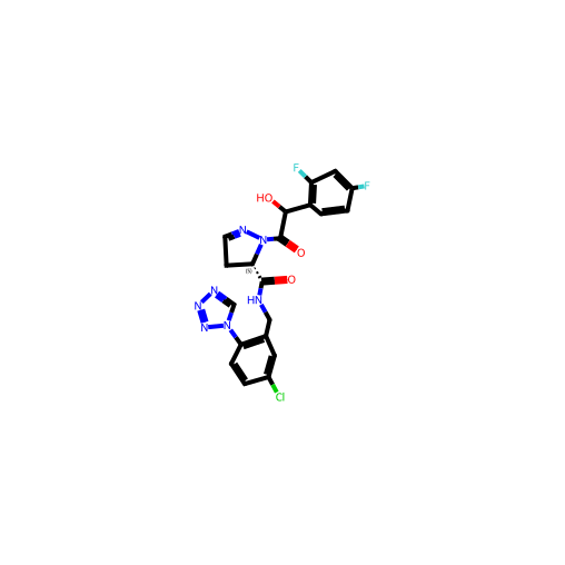 O=C(NCc1cc(Cl)ccc1-n1cnnn1)[C@@H]1CC=NN1C(=O)C(O)c1ccc(F)cc1F